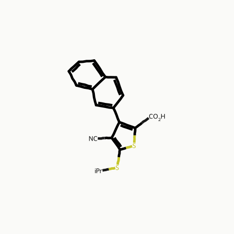 CC(C)Sc1sc(C(=O)O)c(-c2ccc3ccccc3c2)c1C#N